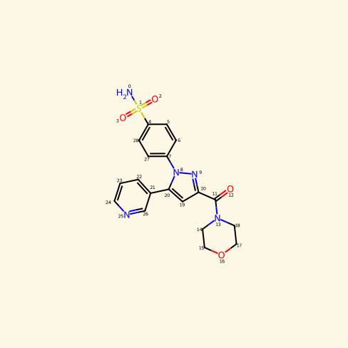 NS(=O)(=O)c1ccc(-n2nc(C(=O)N3CCOCC3)cc2-c2cccnc2)cc1